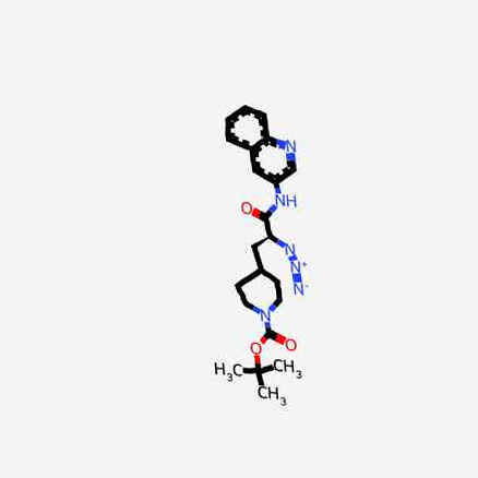 CC(C)(C)OC(=O)N1CCC(C[C@H](N=[N+]=[N-])C(=O)Nc2cnc3ccccc3c2)CC1